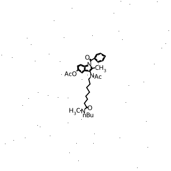 CCCCN(C)C(=O)CCCCCCCN(C(C)=O)c1c(C)n(C(=O)c2ccccc2)c2ccc(OC(C)=O)cc12